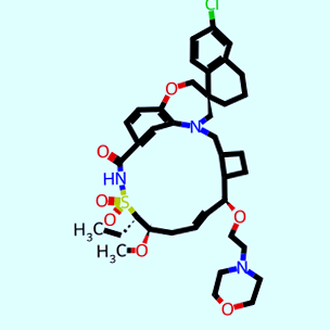 CC[C@H]1[C@H](OC)C/C=C/[C@H](OCCN2CCOCC2)C2CCC2CN2C[C@@]3(CCCc4cc(Cl)ccc43)COc3ccc(cc32)C(=O)NS1(=O)=O